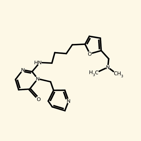 CN(C)Cc1ccc(CCCCNc2nccc(=O)n2Cc2cccnc2)o1